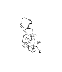 C[C@]12CCC3(C=C1CC[C@H]1[C@@H]4CCC[C@@]4(C(F)F)CC[C@@H]12)SCCS3